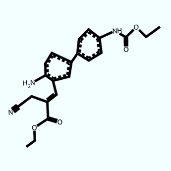 CCOC(=O)Nc1ccc(-c2ccc(N)c(/C=C(\CC#N)C(=O)OCC)c2)cc1